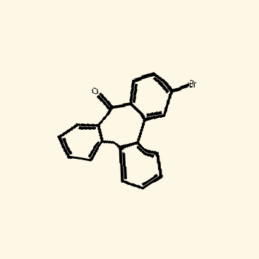 O=c1c2ccccc2c2ccccc2c2cc(Br)ccc12